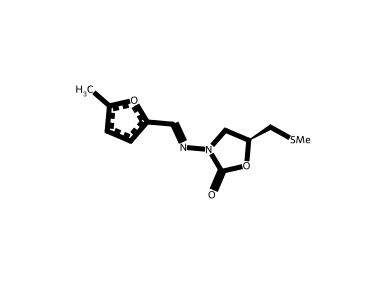 CSC[C@@H]1CN(/N=C/c2ccc(C)o2)C(=O)O1